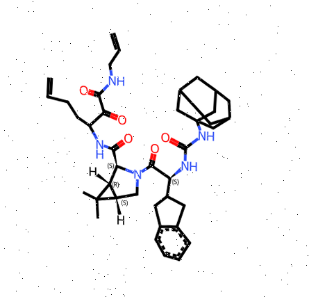 C=CCCC(NC(=O)[C@@H]1[C@@H]2[C@H](CN1C(=O)[C@@H](NC(=O)NC13CC4CC(CC(C4)C1)C3)C1Cc3ccccc3C1)C2(C)C)C(=O)C(=O)NCC=C